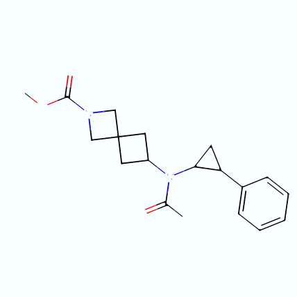 CC(C)(C)OC(=O)N1CC2(CC(N(C(=O)C(F)(F)F)C3CC3c3ccccc3)C2)C1